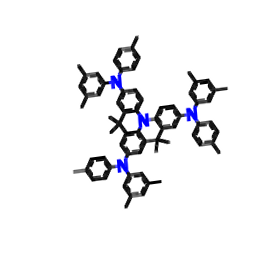 Cc1ccc(N(c2cc(C)cc(C)c2)c2ccc3c(c2)C(C)(C)c2cc(N(c4ccc(C)cc4)c4cc(C)cc(C)c4)cc4c2N3c2ccc(N(c3ccc(C)cc3)c3cc(C)cc(C)c3)cc2C4(C)C)cc1